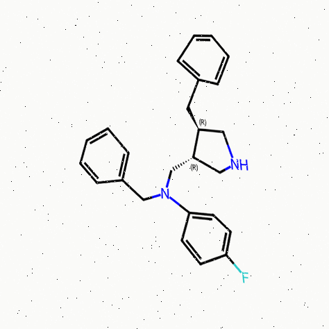 Fc1ccc(N(Cc2ccccc2)C[C@H]2CNC[C@@H]2Cc2ccccc2)cc1